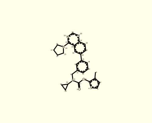 Cc1ccsc1OC(=O)N(Cc1cccc(-c2ccc3ncnc(N4CCCC4)c3c2)c1)C1CC1